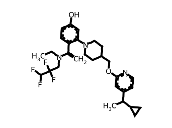 C=C(c1ccc(O)cc1N1CCC(COc2cc(C(C)C3CC3)ccn2)CC1)N(CC)CC(F)(F)C(F)F